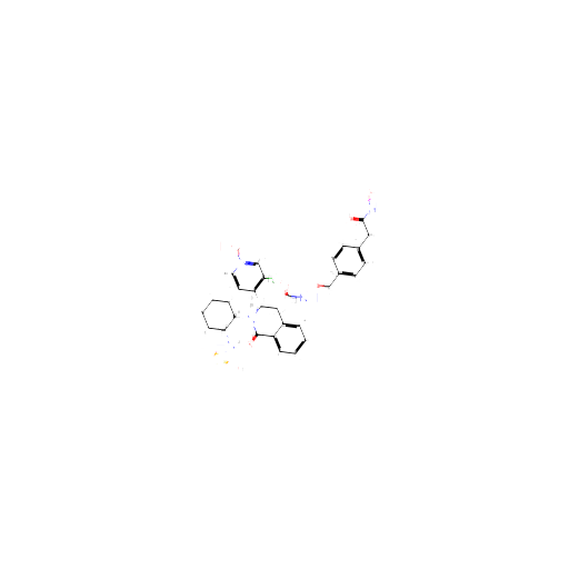 CS(=O)(=O)N[C@H]1CCCC[C@@H]1N1C(=O)c2ccccc2[C@@H](C(=O)NOCc2ccc(CC(=O)N=O)cc2)[C@@H]1c1cc[n+](O)cc1Cl